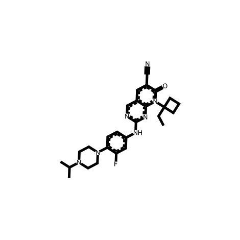 CCC1(n2c(=O)c(C#N)cc3cnc(Nc4ccc(N5CCN(C(C)C)CC5)c(F)c4)nc32)CCC1